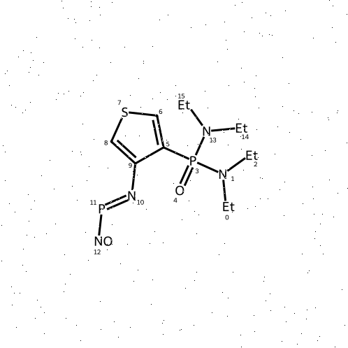 CCN(CC)P(=O)(c1cscc1/N=P/N=O)N(CC)CC